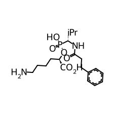 CC(C)[C@H](NC(=O)CCc1ccccc1)P(=O)(O)O[C@H](CCCCN)C(=O)O